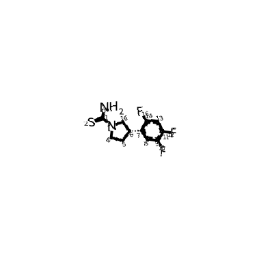 NC(=S)N1CC[C@@H](c2cc(F)c(F)cc2F)C1